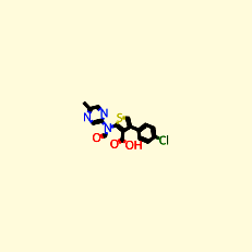 Cc1cnc(N(C=O)c2scc(-c3ccc(Cl)cc3)c2C(=O)O)cn1